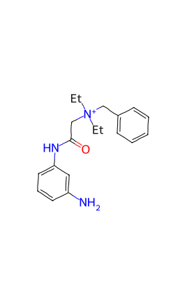 CC[N+](CC)(CC(=O)Nc1cccc(N)c1)Cc1ccccc1